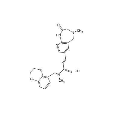 CN1CC(=O)Nc2ncc(C=CC(=O)N(C)Cc3cccc4c3OCCO4)cc2C1.Cl